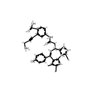 Cc1sc2c(c1C)C(c1ccc(Cl)cc1)=N[C@@H](CC(=O)Nc1ccc(C(=O)O)c(C#CCN)c1)c1nnc(C)n1-2